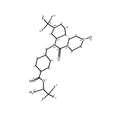 N=C(OC(N)C(F)(F)F)C1CCC(CN(C(=O)N2CC[S+]([O-])CC2)C2CCCC(C(F)(F)F)C2)CC1